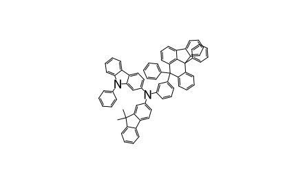 CC1(C)c2ccccc2-c2ccc(N(c3cccc(C4(c5ccccc5)c5ccccc5C5(c6ccccc6)c6ccccc6-c6cccc4c65)c3)c3ccc4c5ccccc5n(-c5ccccc5)c4c3)cc21